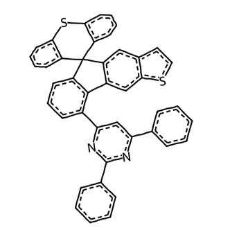 c1ccc(-c2cc(-c3cccc4c3-c3cc5sccc5cc3C43c4ccccc4Sc4ccccc43)nc(-c3ccccc3)n2)cc1